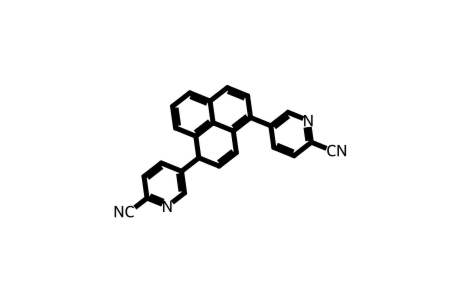 N#Cc1ccc(-c2ccc3cccc4c3c2C=CC4c2ccc(C#N)nc2)cn1